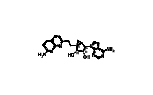 Nc1ccc2ccc(CC[C@@]34CC3[C@@H](n3ccc5c(N)ncnc53)[C@H](O)[C@@H]4O)nc2n1